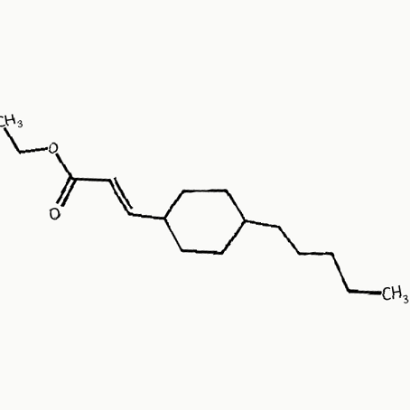 CCCCCC1CCC(C=CC(=O)OCC)CC1